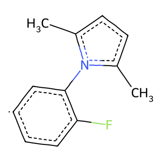 Cc1ccc(C)n1-c1c[c]ccc1F